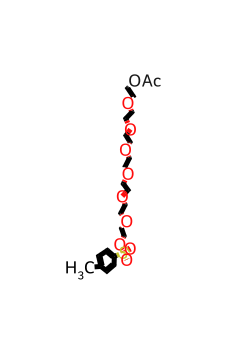 CC(=O)OCCOCCOCCOCCOCCOCCOCCOS(=O)(=O)c1ccc(C)cc1